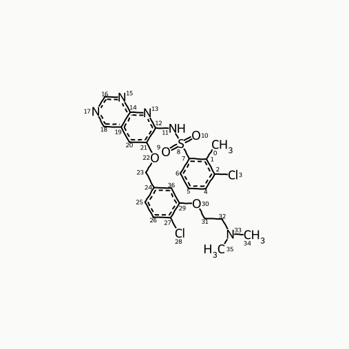 Cc1c(Cl)cccc1S(=O)(=O)Nc1nc2ncncc2cc1OCc1ccc(Cl)c(OCCN(C)C)c1